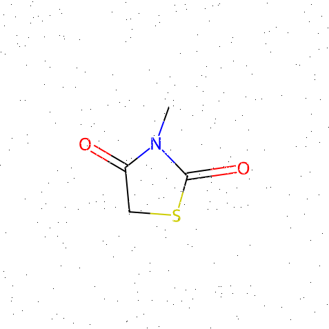 CN1C(=O)CSC1=O